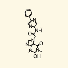 CN1C(=O)c2c(ncn2CC(=O)Nc2cnc(-c3ccccc3)cn2)N(C)C1O